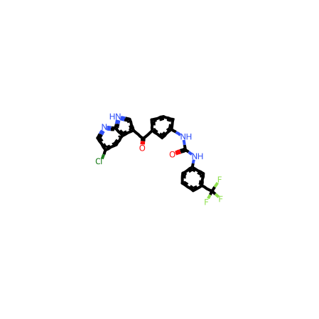 O=C(Nc1cccc(C(=O)c2c[nH]c3ncc(Cl)cc23)c1)Nc1cccc(C(F)(F)F)c1